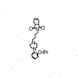 CC(C)Oc1ccccc1N1CCN(CCCCN2C(=O)C3CC=CCC3C2=O)CC1